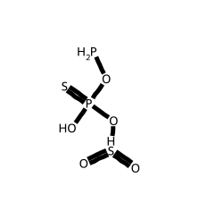 O=[SH](=O)OP(O)(=S)OP